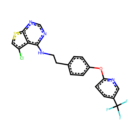 FC(F)(F)c1ccc(Oc2ccc(CCNc3ncnc4scc(Cl)c34)cc2)nc1